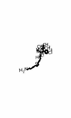 Cc1sc2c(c1C)C(c1ccc(Cl)cc1)=N[C@@H](CC(=O)NCC#Cc1ccc(C#CCCCN)s1)c1nnc(C)n1-2